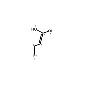 CCCC=C(O)O